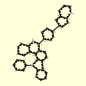 c1ccc(-n2c3ccccc3c3ccc4c(-c5ccc(-c6ccc7ncccc7c6)cc5)nc5ccccc5c4c32)cc1